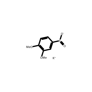 COc1ccc(S(=O)[O-])cc1OC.[K+]